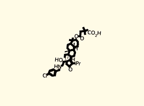 CC(C)C1=C2[C@H]3CC[C@@H]4[C@@]5(C)CC[C@H](OC(=O)CC(C)(C)CC(=O)O)C(C)(C)C5CC[C@@]4(C)[C@]3(C)CC[C@@]2([C@@H](O)CNCc2ccc(Cl)cc2)CC1=O